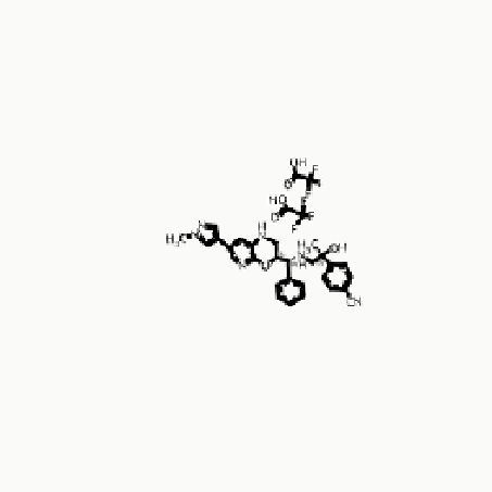 Cn1cc(-c2cnc3c(c2)NC[C@@H]([C@H](NC[C@](C)(O)c2ccc(C#N)cc2)c2ccccc2)O3)cn1.O=C(O)C(F)(F)F.O=C(O)C(F)(F)F